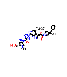 CCCN1C[C@@H](NC(=O)c2ncn(-c3ncc(OC)c4c(C(=O)C(=O)N5CCC(=C(C#N)c6ccccc6)CC5)c[nH]c34)n2)C[C@H]1CO